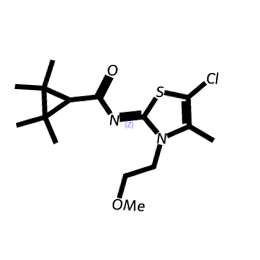 COCCn1c(C)c(Cl)s/c1=N\C(=O)C1C(C)(C)C1(C)C